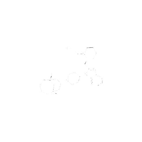 O=C(O)CN1CCCC[C@H]1Cc1nc2ccccc2n1C1CCN([C@@H]2C[C@@H]3CCCC[C@@H](C3)C2)CC1